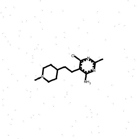 Cc1nc(N)c(CCC2CCN(C)CC2)c(Cl)n1